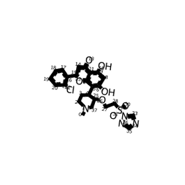 CN1CCC(c2c(O)cc(O)c3c(=O)cc(-c4ccccc4Cl)oc23)C(OCCS(=O)(=O)n2cncn2)C1